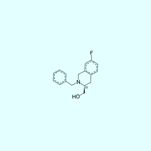 OC[C@@H]1Cc2ccc(F)cc2CN1Cc1ccccc1